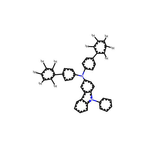 [2H]c1c([2H])c([2H])c(-c2ccc(N(c3ccc(-c4c([2H])c([2H])c([2H])c([2H])c4[2H])cc3)c3ccc4c(c3)c3ccccc3n4-c3ccccc3)cc2)c([2H])c1[2H]